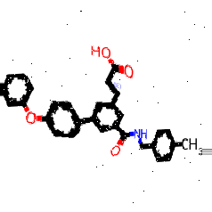 Cc1ccc(CNC(=O)c2cc(/C=C/C(=O)O)cc(-c3ccc(Oc4ccccc4)cc3)c2)cc1